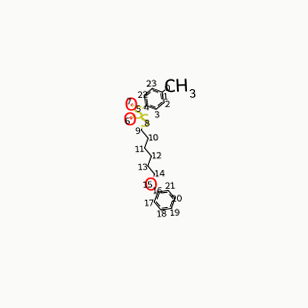 Cc1ccc(S(=O)(=O)SCCCCCCOc2ccccc2)cc1